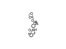 Cn1nc(OC[C@@H]2COCCO2)c2ccc(NC(=O)c3ncccc3F)cc21